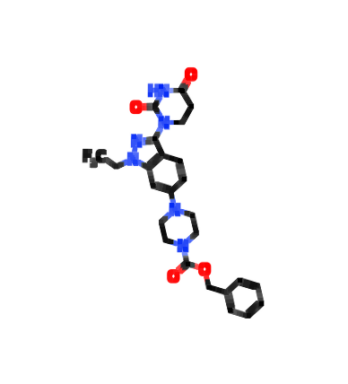 O=C1CCN(c2nn(CC(F)(F)F)c3cc(N4CCN(C(=O)OCc5ccccc5)CC4)ccc23)C(=O)N1